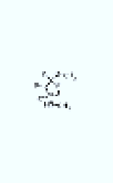 CNS(=O)(=O)C(F)C(F)(F)OC